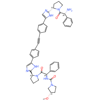 CO[C@H]1CCN(C(=O)N[C@@H](C(=O)N2CCC[C@H]2c2ncc(-c3ccc(C#Cc4ccc(-c5cnc([C@@H]6CCCN6C(=O)[C@H](N)c6ccccc6)[nH]5)cc4)cc3)[nH]2)c2ccccc2)C1